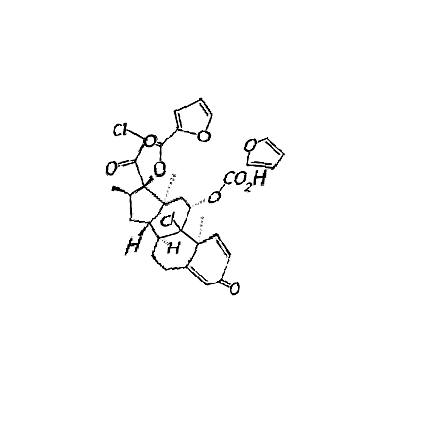 C[C@@H]1C[C@H]2[C@@H]3CCC4=CC(=O)C=C[C@]4(C)C3(Cl)[C@@H](OC(=O)O)C[C@]2(C)[C@@]1(OC(=O)c1ccco1)C(=O)CCl.c1ccoc1